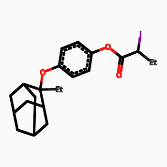 CCC(I)C(=O)Oc1ccc(OC2(CC)C3CC4CC(C3)CC2C4)cc1